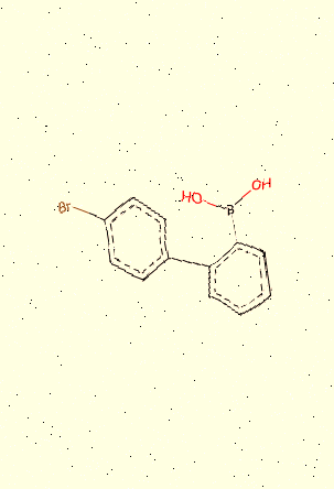 OB(O)c1ccccc1-c1ccc(Br)cc1